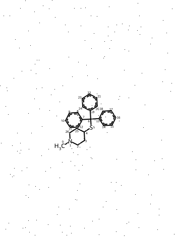 CN1CCC(SC(c2ccccc2)(c2ccccc2)c2ccccc2)CC1